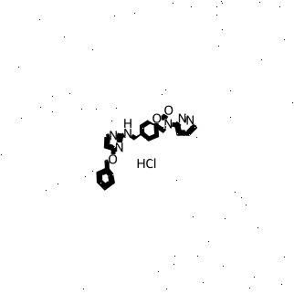 Cl.O=C1O[C@]2(CC[C@H](CNc3nccc(OCc4ccccc4)n3)CC2)CN1c1cccnn1